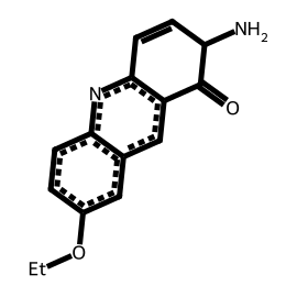 CCOc1ccc2nc3c(cc2c1)C(=O)C(N)C=C3